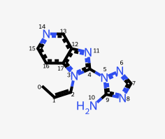 C/C=C\n1c(-n2ncnc2N)nc2cnccc21